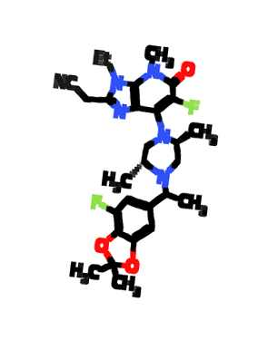 CCn1c(CC#N)nc2c(N3C[C@@H](C)N(C(C)c4cc(F)c5c(c4)OC(C)(C)O5)C[C@@H]3C)c(F)c(=O)n(C)c21